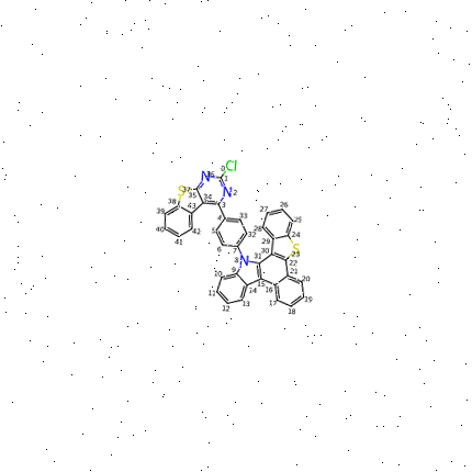 Clc1nc(-c2ccc(-n3c4ccccc4c4c5ccccc5c5sc6ccccc6c5c43)cc2)c2c(n1)sc1ccccc12